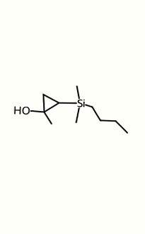 CCCC[Si](C)(C)C1CC1(C)O